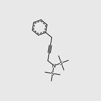 CS(C)(C)N(CC#CCc1ccccc1)S(C)(C)C